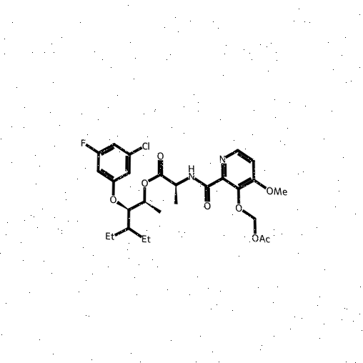 CCC(CC)[C@@H](Oc1cc(F)cc(Cl)c1)[C@H](C)OC(=O)[C@H](C)NC(=O)c1nccc(OC)c1OCOC(C)=O